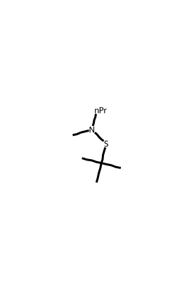 CCCN(C)SC(C)(C)C